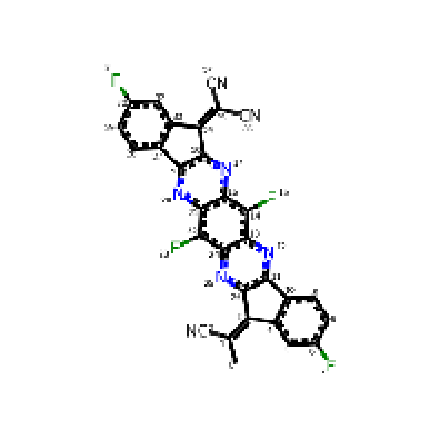 C/C(C#N)=C1\c2cc(F)ccc2-c2nc3c(F)c4nc5c(nc4c(F)c3nc21)-c1ccc(F)cc1C5=C(C#N)C#N